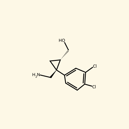 NC[C@@]1(c2ccc(Cl)c(Cl)c2)C[C@@H]1CO